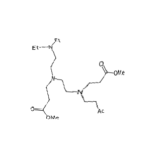 CCN(CC)CCN(CCC(=O)OC)CCN(CCC(C)=O)CCC(=O)OC